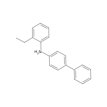 CCc1ccccc1[SiH2]c1ccc(-c2ccccc2)cc1